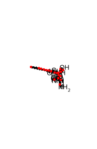 CCCCCCCCCCCCCCCC(=O)NCC(=O)NCC(=O)N[C@@H](Cc1ccc(O)cc1)C(=O)N[C@@H](CCC(N)=O)C(=O)N[C@@H](CCCCN)C(=O)NC